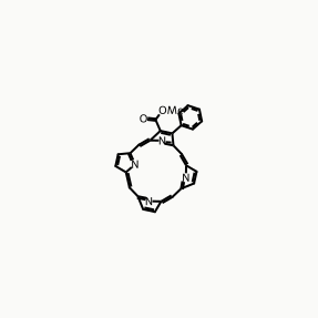 COC(=O)C1=C(c2ccccc2)C2=NC1=CC1=NC(=CC3=NC(=CC4=NC(=C2)C=C4)C=C3)C=C1